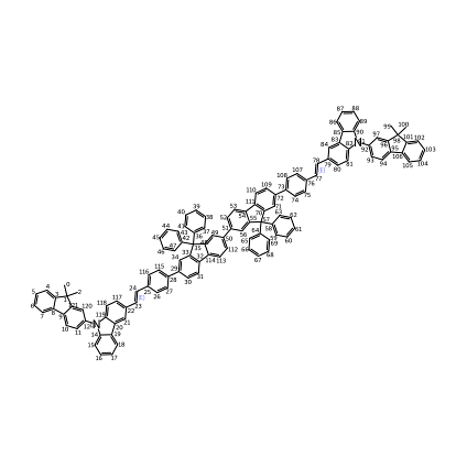 CC1(C)c2ccccc2-c2ccc(-n3c4ccccc4c4cc(/C=C/c5ccc(-c6ccc7c(c6)C(c6ccccc6)(c6ccccc6)c6cc(-c8ccc9c(c8)C(c8ccccc8)(c8ccccc8)c8cc(-c%10ccc(/C=C/c%11ccc%12c(c%11)c%11ccccc%11n%12-c%11ccc%12c(c%11)C(C)(C)c%11ccccc%11-%12)cc%10)ccc8-9)ccc6-7)cc5)ccc43)cc21